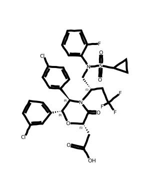 O=C(O)C[C@@H]1O[C@H](c2cccc(Cl)c2)[C@@H](c2ccc(Cl)cc2)N([C@H](CN(c2ccccc2F)S(=O)(=O)C2CC2)CC(F)(F)F)C1=O